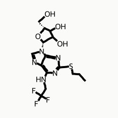 CCCSc1nc(NCC(F)(F)F)c2ncn([C@@H]3O[C@H](CO)C(O)C3O)c2n1